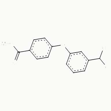 COC(=O)c1ccc(Oc2cccc(C(Cl)Cl)c2)cc1